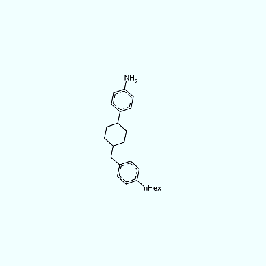 CCCCCCc1ccc(CC2CCC(c3ccc(N)cc3)CC2)cc1